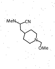 CNC(C#N)CC1CCN(COC)CC1